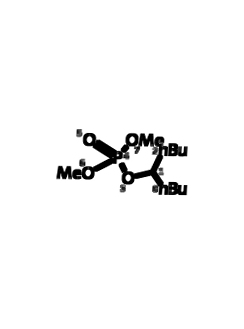 CCCCC(CCCC)OP(=O)(OC)OC